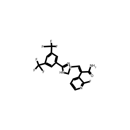 NC(=O)/C(=C/N1CNC(c2cc(C(F)(F)F)cc(C(F)(F)F)c2)=N1)c1cccnc1F